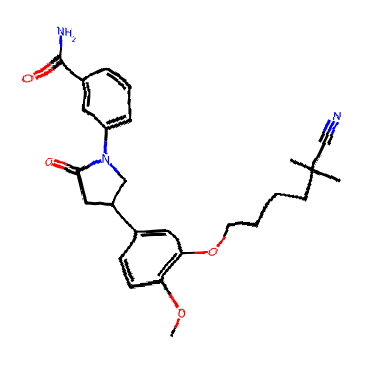 COc1ccc(C2CC(=O)N(c3cccc(C(N)=O)c3)C2)cc1OCCCCC(C)(C)C#N